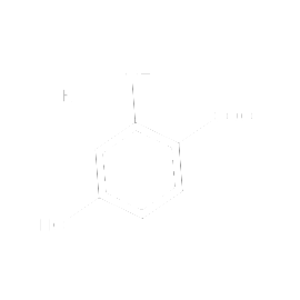 O=C([O-])c1ccc(O)cc1O.[K+]